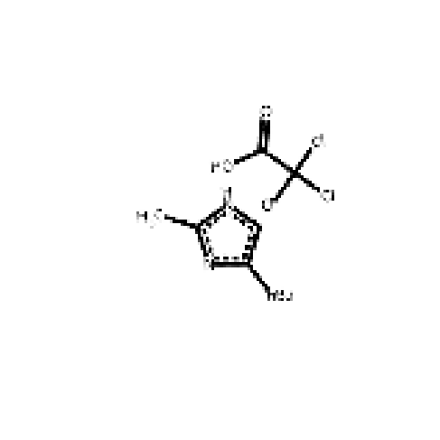 CCCCc1c[nH]c(C)n1.O=C(O)C(Cl)(Cl)Cl